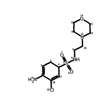 NC1=CCC(S(=O)(=O)NCCN2CCOCC2)C=C1Cl